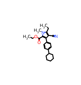 CCOC(=O)c1c(-c2ccc(C3CCCCC3)cc2)c(C#N)c(CC)n1C